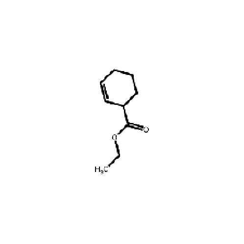 CCOC(=O)C1C=CCCC1